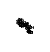 [2H]C([2H])([2H])c1nc(-c2ccc(NC(=O)[C@H](O)c3cccc(Cl)c3)c(F)c2F)c2c(N)ncc(C(F)(F)F)n12